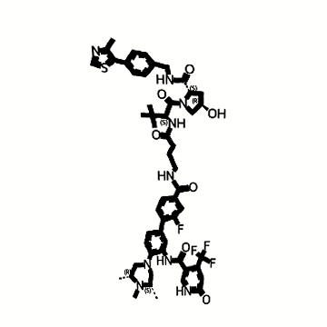 Cc1ncsc1-c1ccc(CNC(=O)[C@@H]2C[C@@H](O)CN2C(=O)[C@@H](NC(=O)CCCNC(=O)c2ccc(-c3ccc(N4C[C@@H](C)N(C)[C@@H](C)C4)c(NC(=O)c4c[nH]c(=O)cc4C(F)(F)F)c3)c(F)c2)C(C)(C)C)cc1